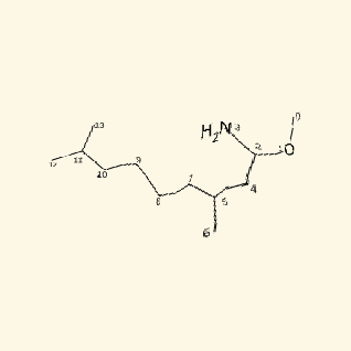 COC(N)CC(C)CCCCC(C)C